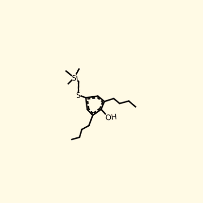 CCCCc1cc(SC[Si](C)(C)C)cc(CCCC)c1O